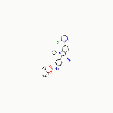 C[C@@H](OC(=O)Nc1ccc(-c2c(C#N)c3ccc(-c4ncccc4Cl)cc3n2C2CCC2)cc1)C1CC1